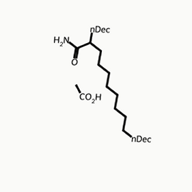 CC(=O)O.CCCCCCCCCCCCCCCCCCC(CCCCCCCCCC)C(N)=O